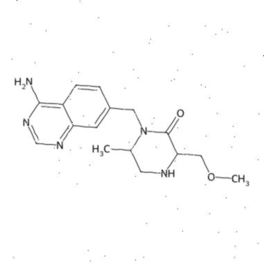 COCC1NCC(C)N(Cc2ccc3c(N)ncnc3c2)C1=O